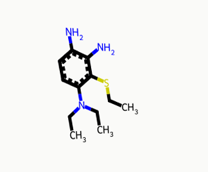 CCSc1c(N(CC)CC)ccc(N)c1N